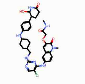 CNC(=O)COc1cc2cc(Nc3nc(NCC4CCC(Nc5ccc(C6CCC(=O)NC6O)cc5)CC4)ncc3Cl)ccc2n(C)c1=O